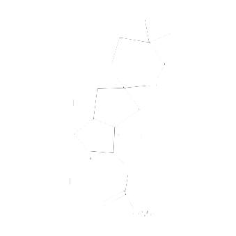 COC(=O)OC1[C@H](O)C[C@H]2CC3(C[C@@H]12)OCC(C)(C)CO3